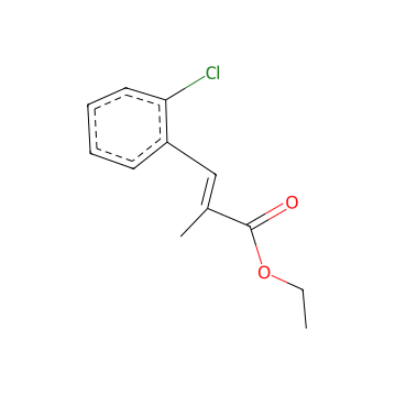 CCOC(=O)/C(C)=C/c1ccccc1Cl